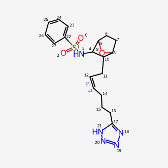 O=S(=O)(NC1C2CCC(O2)C1C/C=C\CCCc1nnn[nH]1)c1ccccc1